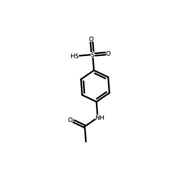 CC(=O)Nc1ccc(S(=O)(=O)S)cc1